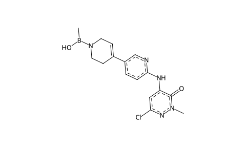 CB(O)N1CC=C(c2ccc(Nc3cc(Cl)nn(C)c3=O)nc2)CC1